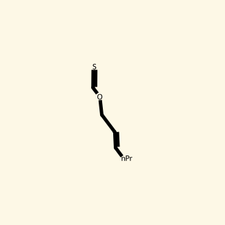 CCCC=CCOC=S